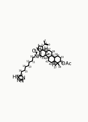 C=C(C)[C@@H]1CC[C@]2(C(=O)NCCCCCCCc3nnn[nH]3)CC[C@]3(C)[C@H](CCC4[C@@]5(C)CC[C@H](OC(C)=O)C(C)(C)[C@@H]5CC[C@]43C)[C@@H]12